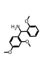 COc1ccc(C(N)c2ccccc2OC)c(OC)c1